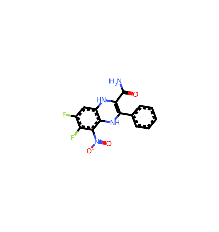 NC(=O)C1=C(c2ccccc2)Nc2c(cc(F)c(F)c2[N+](=O)[O-])N1